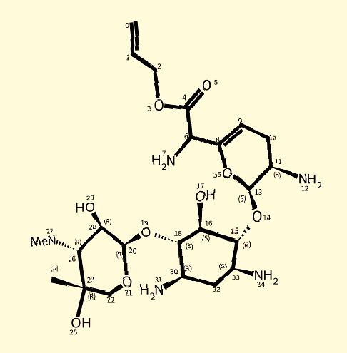 C=CCOC(=O)C(N)C1=CC[C@@H](N)[C@@H](O[C@H]2[C@H](O)[C@@H](O[C@H]3OC[C@](C)(O)[C@H](NC)[C@H]3O)[C@H](N)C[C@@H]2N)O1